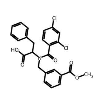 COC(=O)c1cccc(CN(C(=O)c2ccc(Cl)cc2Cl)C(Cc2ccccc2)C(=O)O)c1